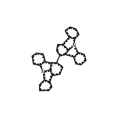 c1ccc2c(c1)c1ccc(-c3ccc4c5ccccc5n5c6ccccc6c3c45)c3c4ccccc4n2c13